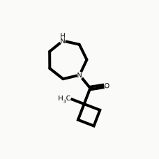 CC1(C(=O)N2CCCNCC2)CCC1